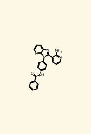 Nc1ncccc1-c1nc2cccnc2n1-c1ccc(NC(=O)c2ccccc2)cc1